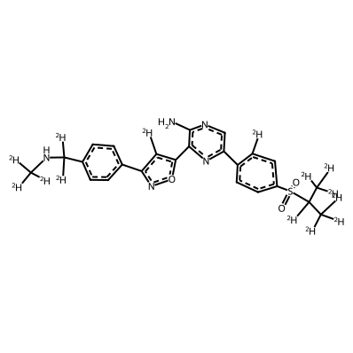 [2H]c1cc(S(=O)(=O)C([2H])(C([2H])([2H])[2H])C([2H])([2H])[2H])ccc1-c1cnc(N)c(-c2onc(-c3ccc(C([2H])([2H])NC([2H])([2H])[2H])cc3)c2[2H])n1